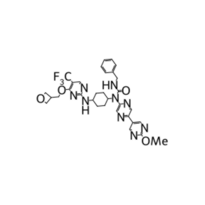 COc1ncc(-c2cnc(N(C(=O)NCc3ccccc3)C3CCC(Nc4ncc(C(F)(F)F)c(OCC5COC5)n4)CC3)cn2)cn1